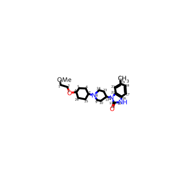 COCCOC1CCC(N2CCC(n3c(=O)[nH]c4ccc(C)cc43)CC2)CC1